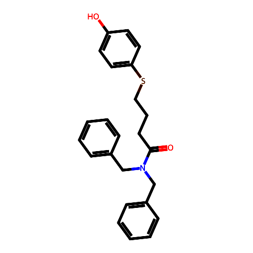 O=C(CCCSc1ccc(O)cc1)N(Cc1ccccc1)Cc1ccccc1